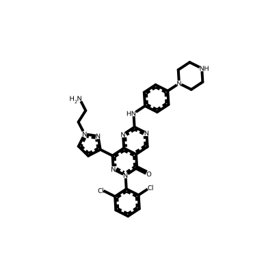 NCCn1ccc(-c2nn(-c3c(Cl)cccc3Cl)c(=O)c3cnc(Nc4ccc(N5CCNCC5)cc4)nc23)n1